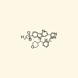 Cn1nncc1-c1cnc2c3ccc(S(C)(=O)=O)cc3n(C(c3ccccc3)C3CCOCC3)c2c1